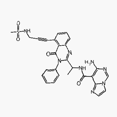 CC(NC(=O)c1c(N)ncn2ccnc12)c1nc2cccc(C#CCNS(C)(=O)=O)c2c(=O)n1-c1ccccc1